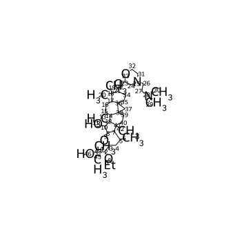 CCOC(C1CC(C)C2C(O1)C(O)C1(C)C3CCC4C(C)(C)C(OC5CN(CCN(C)C)CCO5)CCC45CC35CCC21C)C(C)(C)O